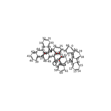 c1ccc(-c2ccccc2-n2c3ccccc3c3ccccc32)c(-c2ccc(N(c3ccccc3-c3ccc4ccccc4c3)c3ccccc3-c3cccc4c3oc3ccccc34)cc2)c1